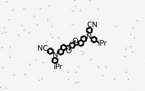 CC(C)c1ccc(N(c2ccc(C#N)cc2)c2ccc3c(ccc4c5cc6oc7c8ccc(N(c9ccc(C#N)cc9)c9ccc(C(C)C)cc9)cc8ccc7c6cc5oc34)c2)cc1